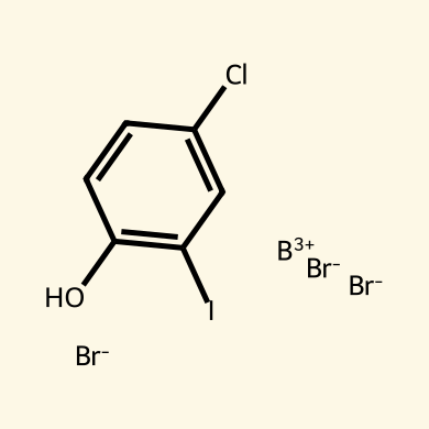 Oc1ccc(Cl)cc1I.[B+3].[Br-].[Br-].[Br-]